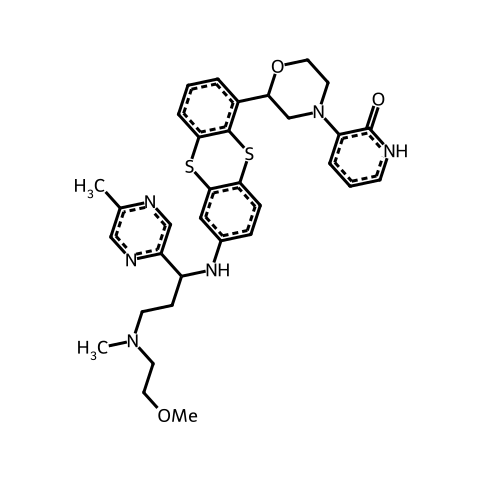 COCCN(C)CCC(Nc1ccc2c(c1)Sc1cccc(C3CN(c4ccc[nH]c4=O)CCO3)c1S2)c1cnc(C)cn1